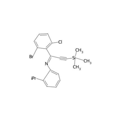 CC(C)c1ccccc1N=C(C#C[Si](C)(C)C)c1c(Cl)cccc1Br